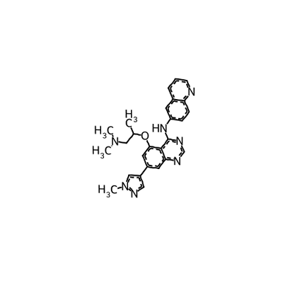 CC(CN(C)C)Oc1cc(-c2cnn(C)c2)cc2ncnc(Nc3ccc4ncccc4c3)c12